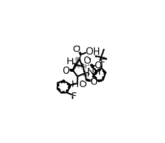 CC(C)(C)OC(=O)N[C@@]1(C(=O)O)C(Cc2ccccc2F)C(=O)[C@@H]2[C@@H](C(=O)O)[C@]21Cc1ccccc1F